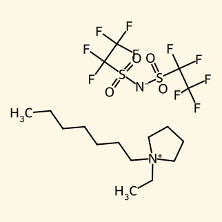 CCCCCCC[N+]1(CC)CCCC1.O=S(=O)([N-]S(=O)(=O)C(F)(F)C(F)(F)F)C(F)(F)C(F)(F)F